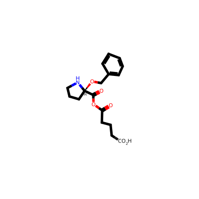 O=C(O)CCCC(=O)OC(=O)[C@]1(OCc2ccccc2)CCCN1